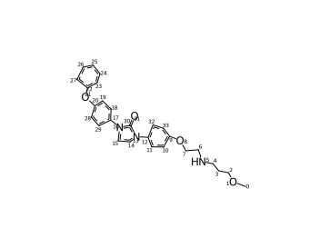 COCCCNCCOc1ccc(-n2ccn(-c3ccc(Oc4ccccc4)cc3)c2=O)cc1